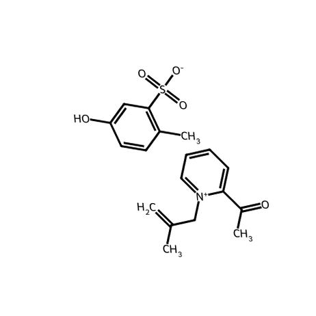 C=C(C)C[n+]1ccccc1C(C)=O.Cc1ccc(O)cc1S(=O)(=O)[O-]